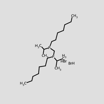 Br.Br.CCCCCCCP(CP(CCCCCCC)C(C)C)C(C)C